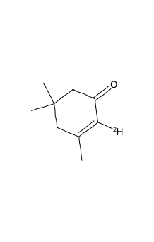 [2H]C1=C(C)CC(C)(C)CC1=O